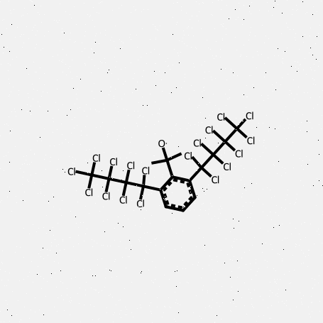 CC(C)([O])c1c(C(Cl)(Cl)C(Cl)(Cl)C(Cl)(Cl)C(Cl)(Cl)Cl)cccc1C(Cl)(Cl)C(Cl)(Cl)C(Cl)(Cl)C(Cl)(Cl)Cl